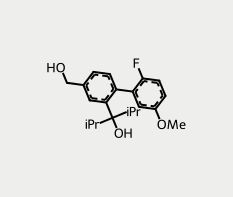 COc1ccc(F)c(-c2ccc(CO)cc2C(O)(C(C)C)C(C)C)c1